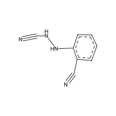 N#CNNc1ccccc1C#N